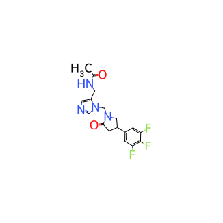 CC(=O)NCc1cncn1CN1CC(c2cc(F)c(F)c(F)c2)CC1=O